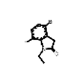 CCN1C(=O)Cc2c(Br)ccc(F)c21